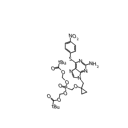 CC(C)(C)C(=O)OCOP(=O)(COC1(Cn2cnc3c(Sc4ccc([N+](=O)[O-])cc4)nc(N)nc32)CC1)OCOC(=O)C(C)(C)C